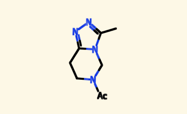 CC(=O)N1CCc2nnc(C)n2C1